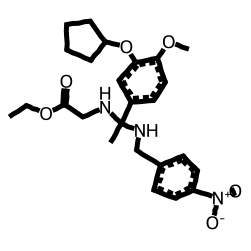 CCOC(=O)CNC(C)(NCc1ccc([N+](=O)[O-])cc1)c1ccc(OC)c(OC2CCCC2)c1